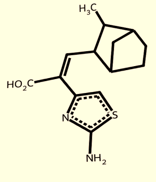 CC1C2CCC(C2)C1C=C(C(=O)O)c1csc(N)n1